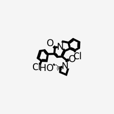 O=C(c1cc(-c2cccc(Cl)c2)c(=O)n2c1-c1c(Cl)cccc1C2)N1CCC[C@@H]1CO